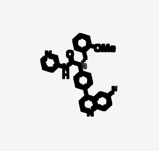 COc1ccccc1C[C@@H](C(=O)Nc1cccnc1)c1ccc(-c2ccnc3ccc(F)cc23)cc1